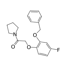 O=C(COc1ccc(F)cc1OCc1ccccc1)N1CCCC1